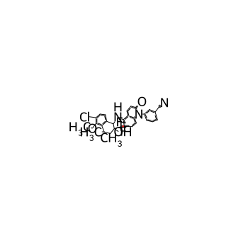 COc1c(Cl)ccc2c1C(C)(C)CC(O)(C(F)(F)F)C2Nc1cccc2c1ccc(=O)n2-c1cccc(C#N)c1